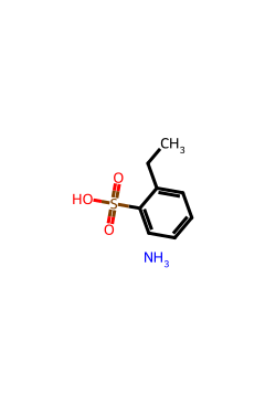 CCc1ccccc1S(=O)(=O)O.N